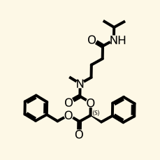 CC(C)NC(=O)CCCN(C)C(=O)O[C@@H](Cc1ccccc1)C(=O)OCc1ccccc1